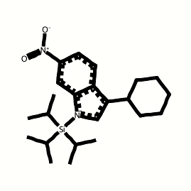 CC(C)[Si](C(C)C)(C(C)C)n1cc(C2CCCCC2)c2ccc([N+](=O)[O-])cc21